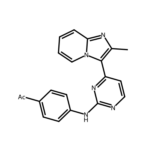 CC(=O)c1ccc(Nc2nccc(-c3c(C)nc4ccccn34)n2)cc1